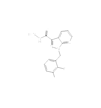 NNC(=O)c1nn(Cc2cccc(F)c2F)c2ncccc12